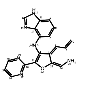 C=C/C=c1/c(Nc2cccc3[nH]cnc23)c(-c2ncccn2)o/c1=C/N